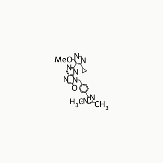 COc1ncnc(C2CC2)c1-c1ncc2ncc(=O)n(Cc3ccc(-c4nc(C)cn4C)cc3)c2n1